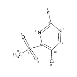 CS(=O)(=O)c1nc(F)n[c]c1Cl